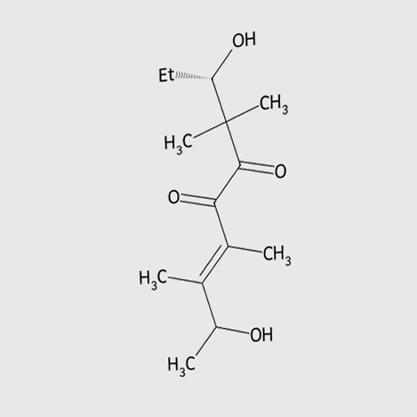 CC[C@H](O)C(C)(C)C(=O)C(=O)/C(C)=C(\C)C(C)O